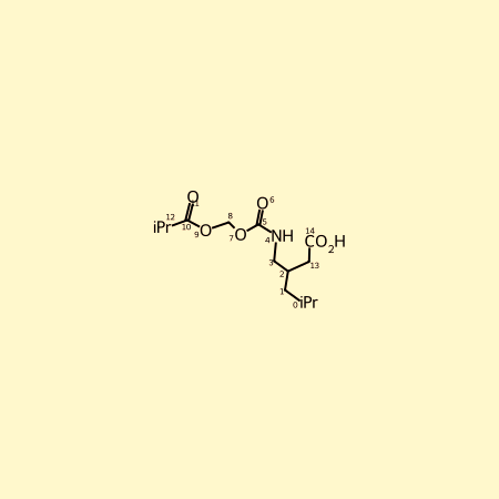 CC(C)CC(CNC(=O)OCOC(=O)C(C)C)CC(=O)O